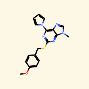 COc1ccc(CSc2nc(-n3cccc3)c3ncn(C)c3n2)cc1